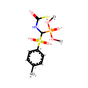 CCOP(=O)(OCC)C(NC(=O)S)S(=O)(=O)c1ccc([N+](=O)[O-])cc1